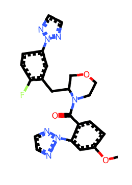 COc1ccc(C(=O)N2CCOCC2Cc2cc(-n3nccn3)ccc2F)c(-n2nccn2)c1